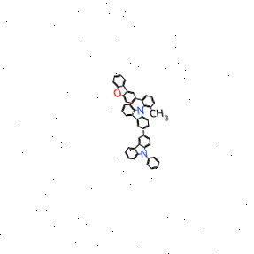 Cc1cccc(-c2ccc3oc4ccccc4c3c2)c1-n1c2ccccc2c2cc(-c3ccc4c(c3)c3ccccc3n4-c3ccccc3)ccc21